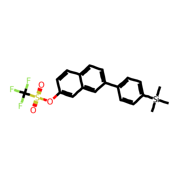 C[Si](C)(C)c1ccc(-c2ccc3ccc(OS(=O)(=O)C(F)(F)F)cc3c2)cc1